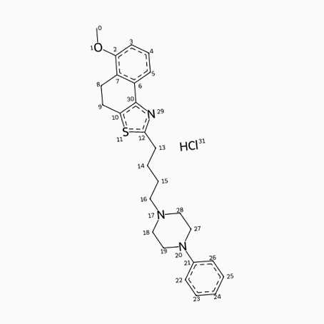 COc1cccc2c1CCc1sc(CCCCN3CCN(c4ccccc4)CC3)nc1-2.Cl